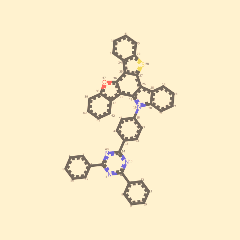 c1ccc(-c2nc(-c3ccccc3)nc(-c3ccc(-n4c5ccccc5c5c6sc7ccccc7c6c6oc7ccccc7c6c54)cc3)n2)cc1